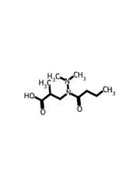 CCCC(=O)N(CC(C)C(=O)O)N(C)C